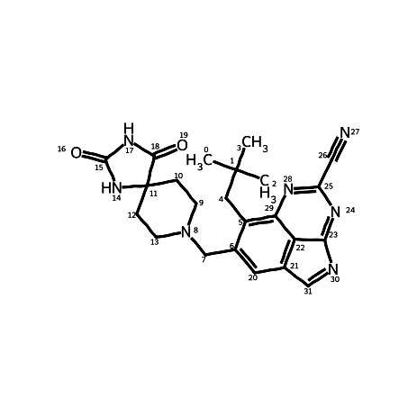 CC(C)(C)Cc1c(CN2CCC3(CC2)NC(=O)NC3=O)cc2c3c(nc(C#N)nc13)N=C2